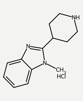 Cl.Cn1c(C2CCNCC2)nc2ccccc21